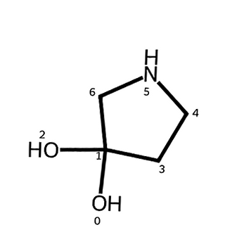 OC1(O)CCNC1